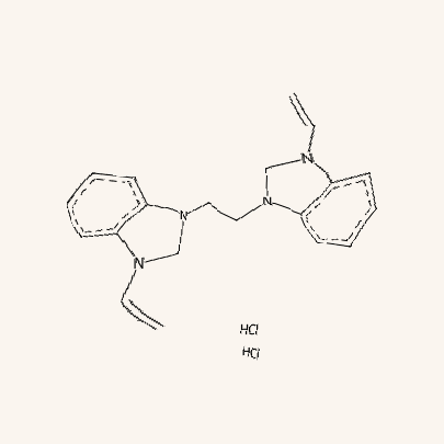 C=CN1CN(CCN2CN(C=C)c3ccccc32)c2ccccc21.Cl.Cl